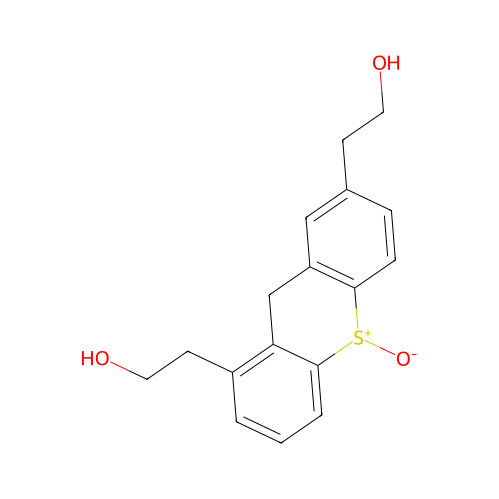 [O-][S+]1c2ccc(CCO)cc2Cc2c(CCO)cccc21